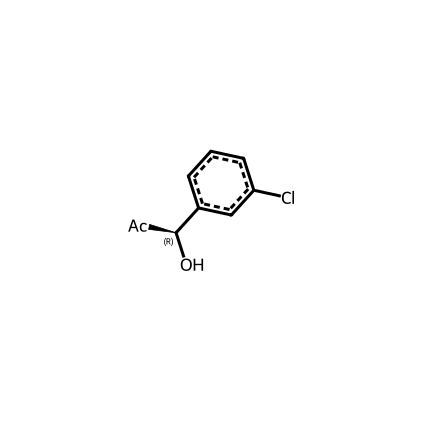 CC(=O)[C@H](O)c1cccc(Cl)c1